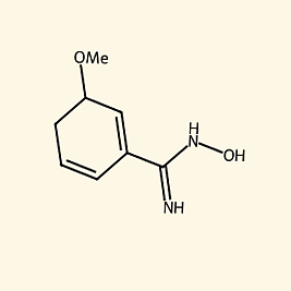 COC1C=C(C(=N)NO)C=CC1